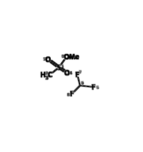 COS(C)(=O)=O.FC(F)F